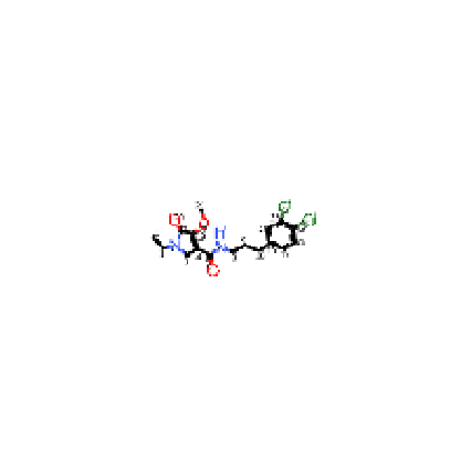 CCN1CC(C(=O)NCCCc2ccc(Cl)c(Cl)c2)=C(OC)C1=O